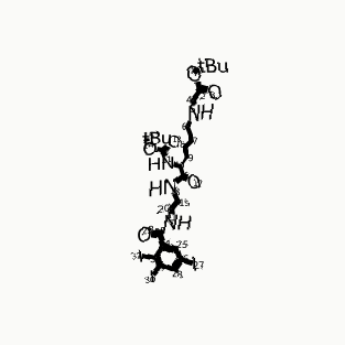 CC(C)(C)OC(=O)CNCCCC[C@H](NC(=O)OC(C)(C)C)C(=O)NCCNC(=O)c1cc(I)cc(I)c1I